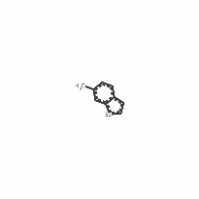 Cc1ccc2cc[se]c2c1